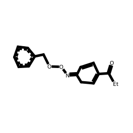 CCC(=O)C1=CCC(=NOOCc2ccccc2)C=C1